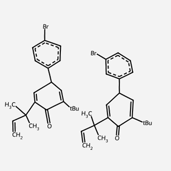 C=CC(C)(C)C1=CC(c2ccc(Br)cc2)C=C(C(C)(C)C)C1=O.C=CC(C)(C)C1=CC(c2cccc(Br)c2)C=C(C(C)(C)C)C1=O